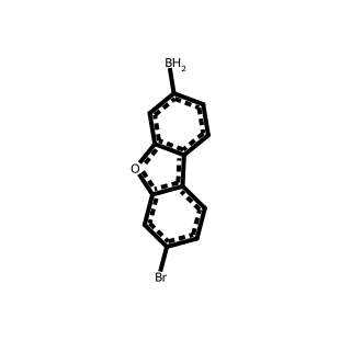 Bc1ccc2c(c1)oc1cc(Br)ccc12